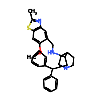 COc1cc2sc(C)nc2cc1CNC1C2CCN(CC2)C1C(c1ccccc1)c1ccccc1